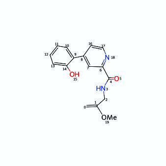 C=C(CNC(=O)c1cc(-c2ccccc2O)ccn1)OC